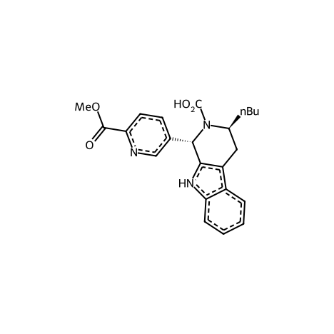 CCCC[C@H]1Cc2c([nH]c3ccccc23)[C@H](c2ccc(C(=O)OC)nc2)N1C(=O)O